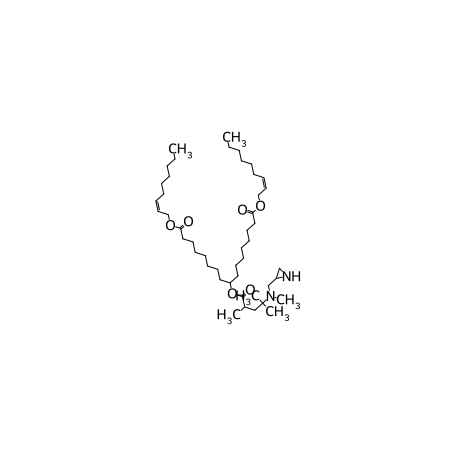 CCCCCC/C=C\COC(=O)CCCCCCCC(CCCCCCCC(=O)OC/C=C\CCCCCC)OC(=O)C(C)CC(C)(C)N(C)CC1CN1